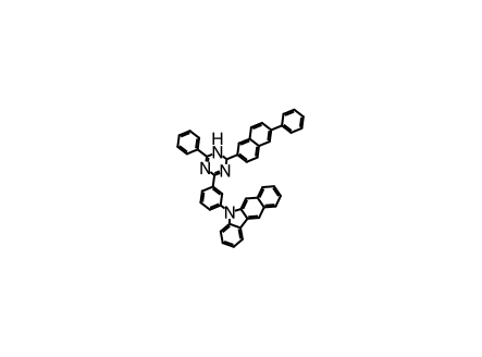 c1ccc(C2=NC(c3cccc(-n4c5ccccc5c5cc6ccccc6cc54)c3)=NC(c3ccc4cc(-c5ccccc5)ccc4c3)N2)cc1